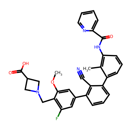 COc1cc(-c2cccc(-c3cccc(NC(=O)c4ccccn4)c3C)c2C#N)cc(F)c1CN1CC(C(=O)O)C1